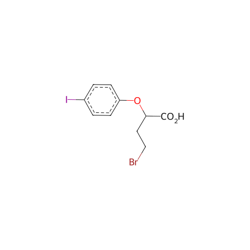 O=C(O)C(CCBr)Oc1ccc(I)cc1